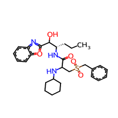 CCC[C@H](NC(=O)C(CS(=O)(=O)Cc1ccccc1)NC1CCCCC1)C(O)c1nc2ccccc2o1